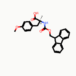 COc1ccc(C[C@](C)(NC(=O)OCC2c3ccccc3-c3ccccc32)C(=O)O)cc1